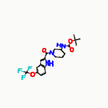 CC(C)(C)OC(=O)NC1CCCN(C(=O)c2cc3cc(OC(F)(F)F)ccc3[nH]2)C1